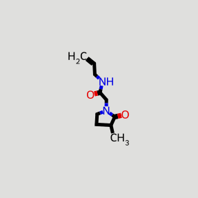 C=CCNC(=O)CN1CCC(C)C1=O